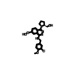 COc1ccc(CNc2nnc(N3CCC[C@@H]3CO)c3ccc(Cl)cc23)cc1Cl.Cl